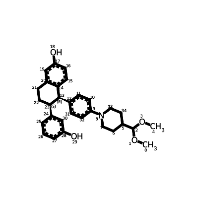 COC(OC)C1CCN(c2ccc([C@@H]3c4ccc(O)cc4CC[C@@H]3c3cccc(O)c3)cc2)CC1